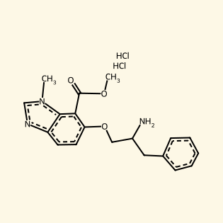 COC(=O)c1c(OCC(N)Cc2ccccc2)ccc2ncn(C)c12.Cl.Cl